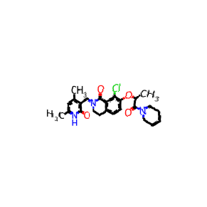 Cc1cc(C)c(CN2CCc3ccc(OC(C)C(=O)N4CCCCC4)c(Cl)c3C2=O)c(=O)[nH]1